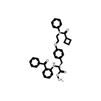 COC(=O)[C@H](Cc1ccc(OCCN(C(=O)C2CCC2)c2ccccc2)cc1)Nc1ccccc1C(=O)c1ccccc1